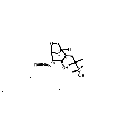 CC(C)(C[C@H]1C(O)[C@H](N=[N+]=[N-])C2OC[C@H]1O2)[Si](C)(C)O